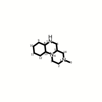 CN1CCN2C(CNC3CCCCC32)C1